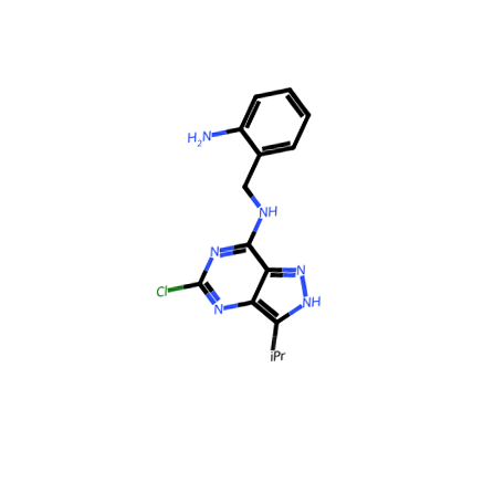 CC(C)c1[nH]nc2c(NCc3ccccc3N)nc(Cl)nc12